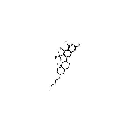 CCCCC[C@@H]1CC[C@@H]2CC(c3cc4cc(F)cc(F)c4c(F)c3C(F)(F)F)CCC2C1